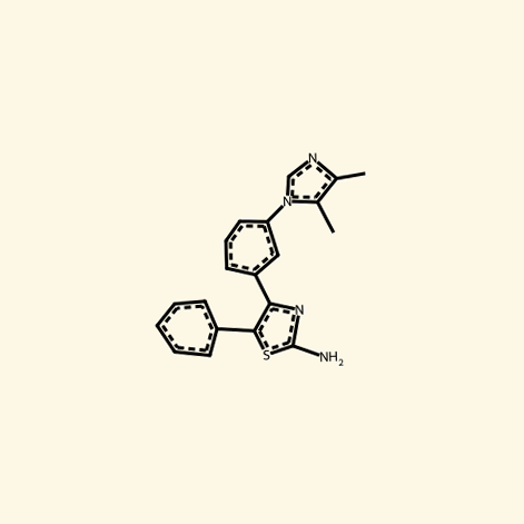 Cc1ncn(-c2cccc(-c3nc(N)sc3-c3ccccc3)c2)c1C